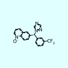 [O-][n+]1cccc2cc([C@H](c3cccc(C(F)(F)F)c3)n3cncn3)ccc21